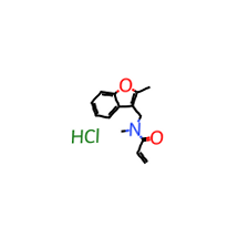 C=CC(=O)N(C)Cc1c(C)oc2ccccc12.Cl